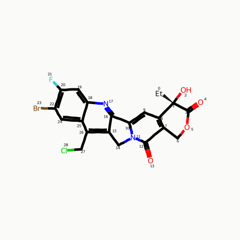 CC[C@@]1(O)C(=O)OCc2c1cc1n(c2=O)Cc2c-1nc1cc(F)c(Br)cc1c2CCl